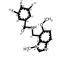 COc1ccc2ncn(C)c2c1CNC(=O)c1cc(F)c(F)c(F)c1